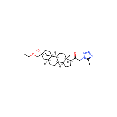 CCOC[C@@]1(O)CC[C@@]2(CC)[C@@H](CC[C@H]3[C@@H]4CC[C@H](C(=O)Cn5nnnc5C)[C@@]4(C)CC[C@@H]32)C1